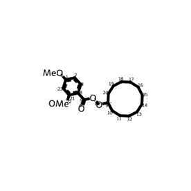 COc1ccc(C(=O)OO[C]2CCCCCCCCCCC2)c(OC)c1